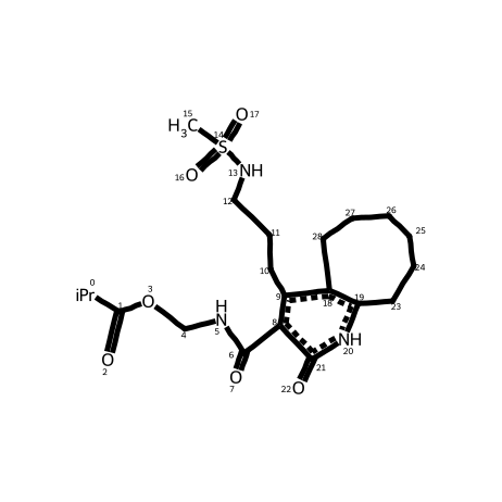 CC(C)C(=O)OCNC(=O)c1c(CCCNS(C)(=O)=O)c2c([nH]c1=O)CCCCCC2